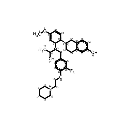 COC1=CC(N(Cc2ccc(OCCN3CCCCC3)c(F)c2)C(C)C)C([C@@H]2CCc3cc(O)ccc3C2)C=C1